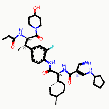 CCC(=O)N[C@@H](C(=O)N1CCC(O)CC1)[C@@H](C)c1ccc(NC(=O)[C@@H](NC(=O)/C(C=N)=C/NC2CCCC2)[C@H]2CC[C@H](C)CC2)c(F)c1